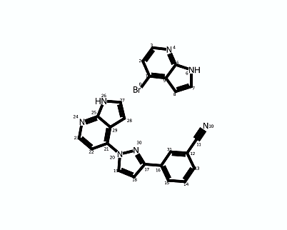 Brc1ccnc2[nH]ccc12.N#Cc1cccc(-c2ccn(-c3ccnc4[nH]ccc34)n2)c1